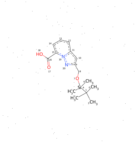 CC(C)(C)[Si](C)(C)OCc1cc2cccc(C(=O)O)n2n1